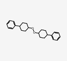 c1ccc(C2CCC(OOC3CCC(c4ccccc4)CC3)CC2)cc1